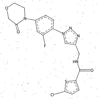 O=C(NCc1cn(-c2ccc(N3CCOCC3=O)cc2F)nn1)c1ccc(Cl)s1